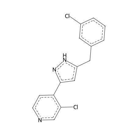 Clc1cccc(Cc2cc(-c3ccncc3Cl)n[nH]2)c1